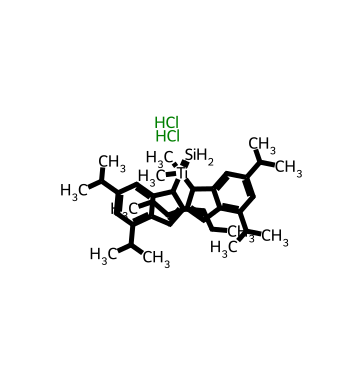 CCCC1=Cc2c(C(C)C)cc(C(C)C)cc2[CH]1[Ti]([CH3])([CH3])(=[SiH2])[CH]1C(CCC)=Cc2c(C(C)C)cc(C(C)C)cc21.Cl.Cl